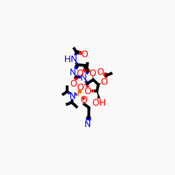 CC(=O)Nc1ccn([C@]2(OP(OCCC#N)N(C(C)C)C(C)C)O[C@H](CO)[C@@H](OC(C)=O)[C@H]2OC(C)=O)c(=O)n1